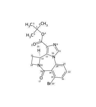 CC(C)(C)OC(=O)c1ncn2c1[C@@H]1CCN1C(=O)c1c(Br)cccc1-2